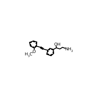 COc1ccccc1C#Cc1cccc(C(O)CCN)c1